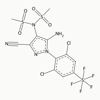 CS(=O)(=O)N(c1c(C#N)nn(-c2c(Cl)cc(S(F)(F)(F)(F)F)cc2Cl)c1N)S(C)(=O)=O